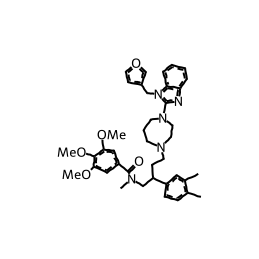 COc1cc(C(=O)N(C)CC(CCN2CCCN(c3nc4ccccc4n3Cc3ccoc3)CC2)c2ccc(C)c(C)c2)cc(OC)c1OC